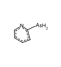 [AsH2]c1ccccn1